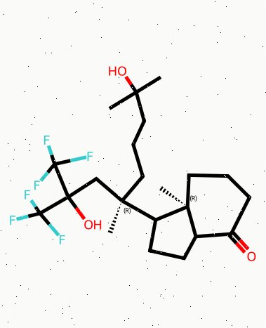 CC(C)(O)CCC[C@](C)(CC(O)(C(F)(F)F)C(F)(F)F)C1CCC2C(=O)CCC[C@@]21C